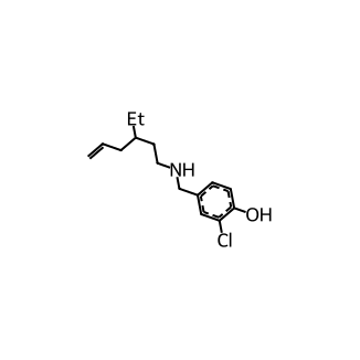 C=CCC(CC)CCNCc1ccc(O)c(Cl)c1